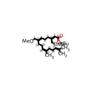 COCC(=CCCC(=CC(=O)OC(C)(C)C)COC)CCC=C(C)CCC=C(C)C